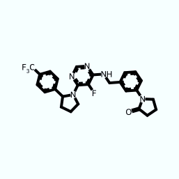 O=C1CCCN1c1cccc(CNc2ncnc(N3CCCC3c3ccc(C(F)(F)F)cc3)c2F)c1